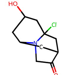 O=C1CN2C3CC(O)CC2(Cl)CC1C3